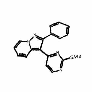 CSc1nccc(-c2c(-c3ccccc3)nn3ccccc23)n1